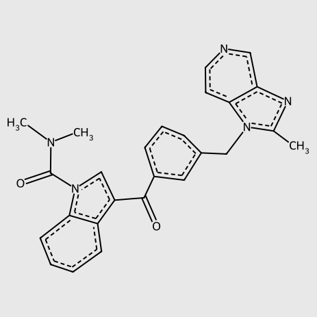 Cc1nc2cnccc2n1Cc1cccc(C(=O)c2cn(C(=O)N(C)C)c3ccccc23)c1